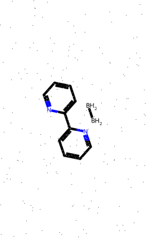 BB.c1ccc(-c2ccccn2)nc1